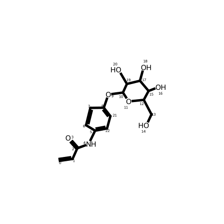 C=CC(=O)Nc1ccc(OC2OC(CO)C(O)C(O)C2O)cc1